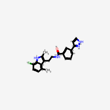 Cc1[nH]c2c(F)ccc(C)c2c1CCNC(=O)c1cccc(-c2cc[nH]n2)c1